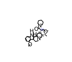 CC[C@@H]1CN2CCc3c([nH]c4cccc(OC)c34)[C@@H]2C[C@@H]1/C(=C\OC)C(=O)N1CCCCC1